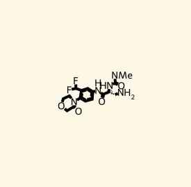 CNC(=O)N[C@H](CN)C(=O)Nc1ccc(N2CCOCC2=O)c(C(F)F)c1